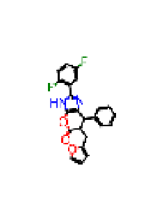 O=C1Oc2[nH]c(-c3cc(F)ccc3F)nc2C(c2ccccc2)C1Cc1ccco1